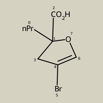 CCCC1(C(=O)O)CC(Br)=CO1